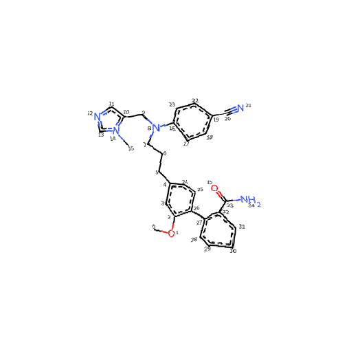 COc1cc(CCCN(Cc2cncn2C)c2ccc(C#N)cc2)ccc1-c1ccccc1C(N)=O